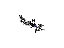 CCCc1cc(F)cc(/C=N/NC(=O)CN2CCN(Cc3ccc(C#N)cc3)CC2)c1O